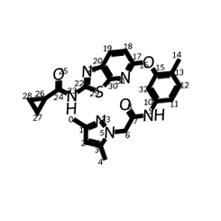 Cc1cc(C)n(CC(=O)Nc2ccc(C)c(Oc3ccc4nc(NC(=O)C5CC5)sc4n3)c2)n1